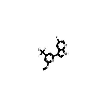 C=Nc1cc(C(F)(F)F)cc(-c2c[nH]c3ncc(F)cc23)n1